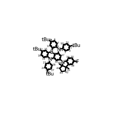 CC(C)(C)c1ccc(N2c3ccc(C(C)(C)C)cc3B3c4cc(C(C)(C)C)ccc4N(c4ccc(C(C)(C)C)cc4)c4cc(N5c6ccc(F)cc6C6(C)CCCC56C)cc2c43)cc1